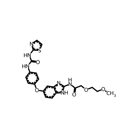 COCCOCC(=O)Nc1nc2cc(Oc3ccc(NC(=O)Nc4nccs4)cc3)ccc2[nH]1